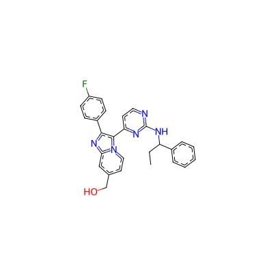 CCC(Nc1nccc(-c2c(-c3ccc(F)cc3)nc3cc(CO)ccn23)n1)c1ccccc1